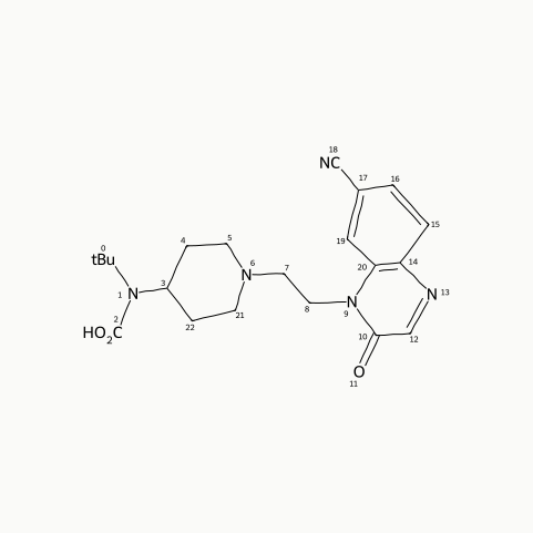 CC(C)(C)N(C(=O)O)C1CCN(CCn2c(=O)cnc3ccc(C#N)cc32)CC1